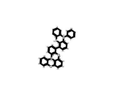 c1ccc(N2c3ccccc3Sc3c(-c4cccc5c4Oc4cccc6c4B5c4ccccc4O6)cccc32)cc1